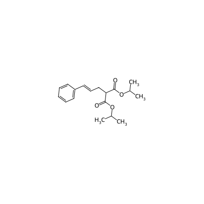 CC(C)OC(=O)C(C/C=C/c1ccccc1)C(=O)OC(C)C